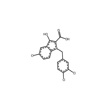 O=C(O)c1c(O)c2cc(Cl)ccc2n1Cc1ccc(Cl)c(Cl)c1